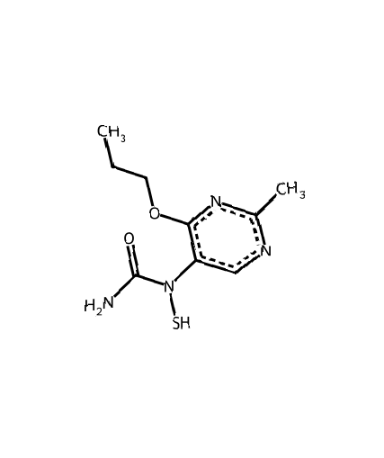 CCCOc1nc(C)ncc1N(S)C(N)=O